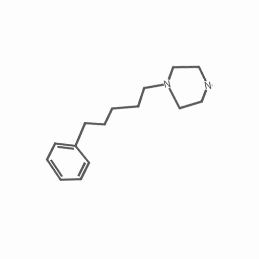 c1ccc(CCCCCN2CC[N]CC2)cc1